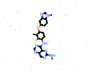 CNc1ncc2ncnc(Nc3ccc(Oc4ccc5c(c4)ncn5C)c(C)c3F)c2n1